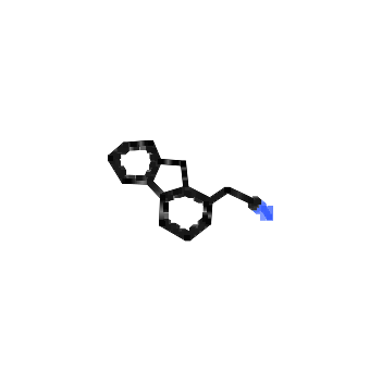 N#CCc1cccc2c1Cc1ccccc1-2